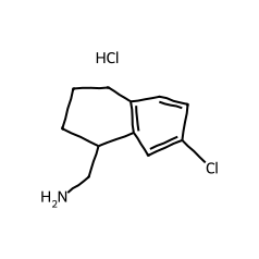 Cl.NCC1CCCc2ccc(Cl)cc21